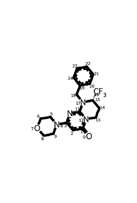 O=c1cc(N2CCOCC2)nc2n1CC[C@@H](C(F)(F)F)N2Cc1ccccc1